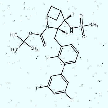 CC(C)(C)OC(=O)N1C2CC(C2)[C@H](NS(C)(=O)=O)[C@@H]1Cc1cccc(-c2cc(F)cc(F)c2)c1F